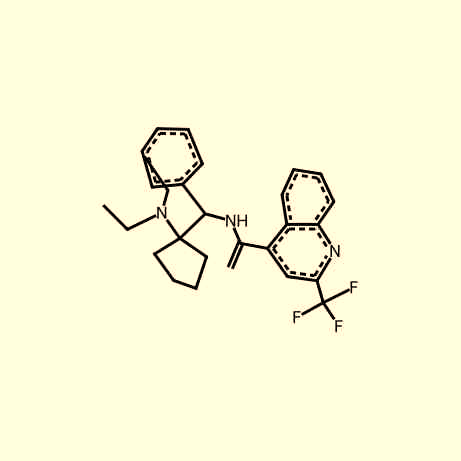 C=C(NC(c1ccccc1)C1(N(CC)CC)CCCC1)c1cc(C(F)(F)F)nc2ccccc12